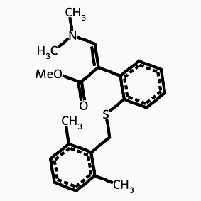 COC(=O)C(=CN(C)C)c1ccccc1SCc1c(C)cccc1C